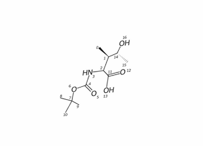 C[C@H](C(NC(=O)OC(C)(C)C)C(=O)O)[C@@H](C)O